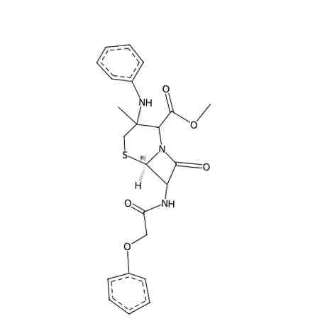 COC(=O)C1N2C(=O)C(NC(=O)COc3ccccc3)[C@H]2SCC1(C)Nc1ccccc1